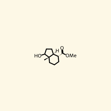 COC(=O)[C@@H]1CCC[C@]2(C)C(O)CC[C@@H]12